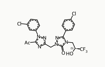 CC(=O)c1nc(Cn2nc(-c3ccc(Cl)cc3)n(C[C@H](O)C(F)(F)F)c2=O)nn1-c1cccc(Cl)c1